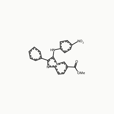 COC(=O)c1ccc2nc(-c3ccccc3)c(Nc3ccc([N+](=O)[O-])cc3)n2c1